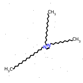 CCCCCCCCCCCCCCCCCN1C=CN(CCCCCCCCCCC)C1CCCCCCCCCCCCCC